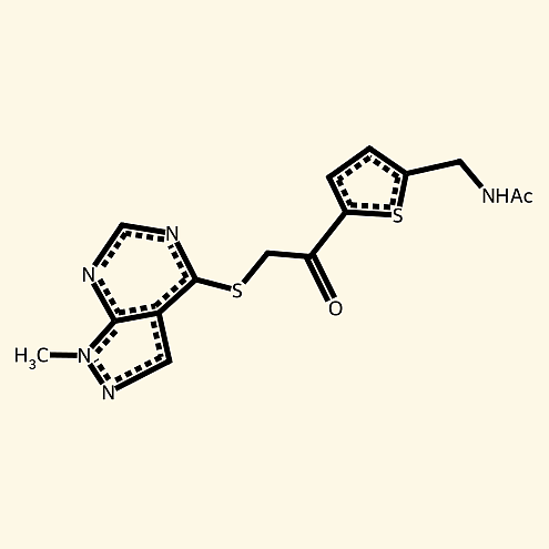 CC(=O)NCc1ccc(C(=O)CSc2ncnc3c2cnn3C)s1